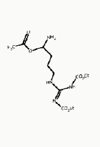 CCOC(=O)N=C(NCCCC(N)OC(=O)C(F)(F)F)NC(=O)OCC